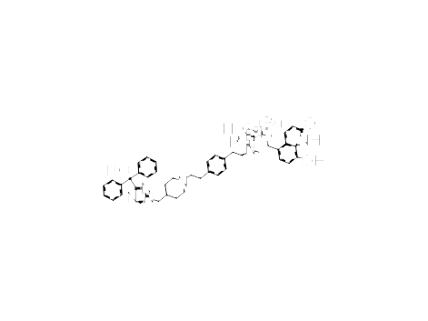 CC(C)(C)[Si](C)(C)O[C@@H](CNCCc1ccc(CCN2CCC(Cn3cnc(C(O)(c4ccccc4)c4ccccc4)n3)CC2)cc1)c1ccc(O)c2[nH]c(=O)ccc12